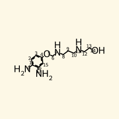 Nc1ccc(OCNCCCNCCO)cc1N